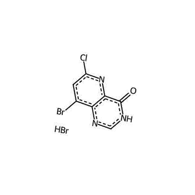 Br.O=c1[nH]cnc2c(Br)cc(Cl)nc12